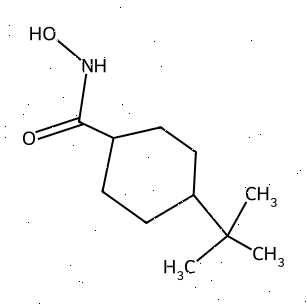 CC(C)(C)C1CCC(C(=O)NO)CC1